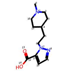 CN1CCC(CCn2nccc2C(=O)O)CC1